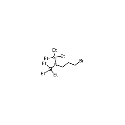 CC[Si](CC)(CC)N(CCCBr)[Si](CC)(CC)CC